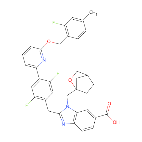 Cc1ccc(COc2cccc(-c3cc(F)c(Cc4nc5ccc(C(=O)O)cc5n4CC45CCC(CO4)C5)cc3F)n2)c(F)c1